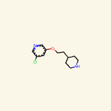 Clc1cncc(OCCC2CCNCC2)c1